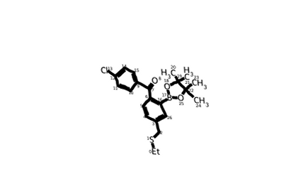 CCSCc1ccc(C(=O)c2ccc(Cl)cc2)c(B2OC(C)(C)C(C)(C)O2)c1